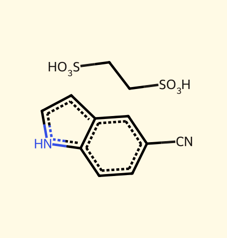 N#Cc1ccc2[nH]ccc2c1.O=S(=O)(O)CCS(=O)(=O)O